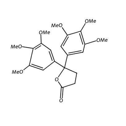 COc1cc(C2(c3cc(OC)c(OC)c(OC)c3)CCC(=O)O2)cc(OC)c1OC